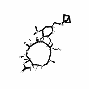 CC[C@@H]1OC(=O)[C@H](C)C(=O)[C@H](C)[C@@H](O[C@@H]2O[C@H](CNC34CC(C3)C4)CC(N(C)C)C2O)[C@](C)(OC)C[C@@H](C)CN[C@H](C)[C@H]2NC(=O)O[C@]12C